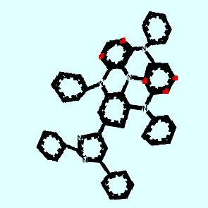 c1ccc(-c2cc(-c3cc(N(c4ccccc4)c4ccccc4)c(N4c5ccccc5N(c5ccccc5)c5ccccc54)c(N(c4ccccc4)c4ccccc4)c3)nc(-c3ccccc3)n2)cc1